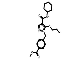 CCCSc1c(C(=O)NC2CCCCC2)cnn1Cc1ccc(C(=O)OC)cc1